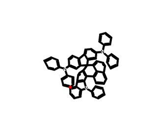 c1ccc(N(c2ccccc2)c2ccc3c(c2)C2(c4cc(N(c5ccccc5)c5ccccc5)ccc4-3)c3ccc4c5ccccc5n(-c5ccccc5)c4c3-c3cccc4cccc2c34)cc1